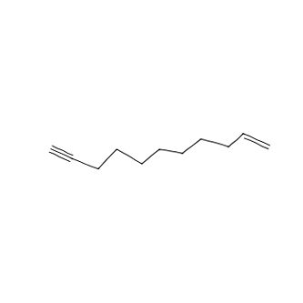 C#CCCCCCCCC=C